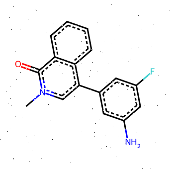 Cn1cc(-c2cc(N)cc(F)c2)c2ccccc2c1=O